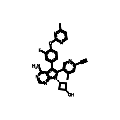 C#Cc1cc(C)c(-c2c(-c3ccc(Oc4nccc(C)n4)c(F)c3)c3c(N)ncnc3n2[C@H]2C[C@H](O)C2)cn1